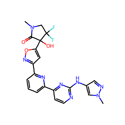 CN1CC(F)(F)C(O)(c2cc(-c3cccc(-c4ccnc(Nc5cnn(C)c5)n4)n3)no2)C1=O